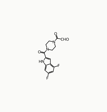 O=CC(=O)N1CCN(C(=O)c2cc3c(F)cc(F)cc3[nH]2)CC1